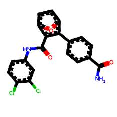 NC(=O)c1ccc(-c2c(C(=O)Nc3ccc(Cl)c(Cl)c3)c3ccc2o3)cc1